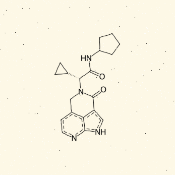 O=C(NC1CCCC1)[C@@H](C1CC1)N1Cc2ccnc3[nH]cc(c23)C1=O